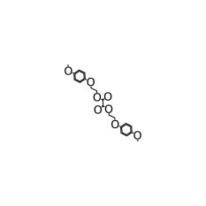 COc1ccc(OCCOC(=O)C(=O)OCCOc2ccc(OC)cc2)cc1